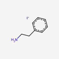 NCCc1ccccc1.[I+]